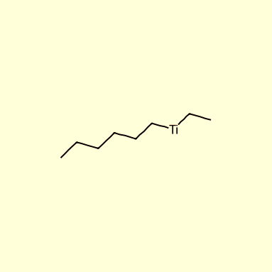 CCCCC[CH2][Ti][CH2]C